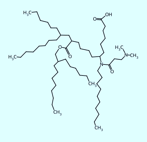 CCCCCCCCCCN(C(=O)CCN(C)C)C(CCCCCC(=O)O)CCCCC(CC(CCCCCC)CCCCCCCC)C(=O)OCC(CCCCCC)CCCCCCCC